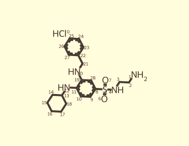 Cl.NCCNS(=O)(=O)c1ccc(NC2CCCCC2)c(NCc2ccccc2)c1